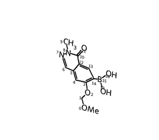 COCOc1cc2cnn(C)c(=O)c2cc1B(O)O